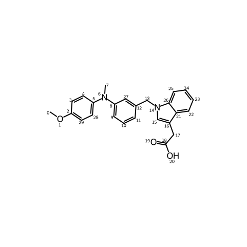 COc1ccc(N(C)c2cccc(Cn3cc(CC(=O)O)c4ccccc43)c2)cc1